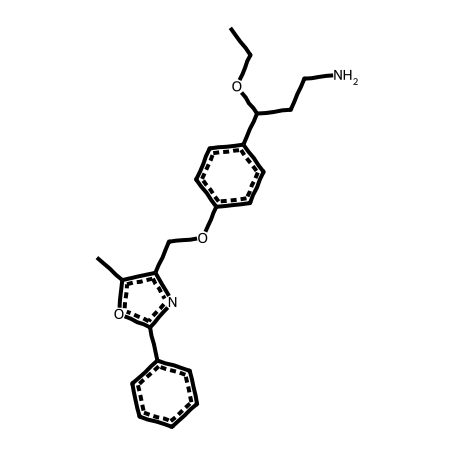 CCOC(CCN)c1ccc(OCc2nc(-c3ccccc3)oc2C)cc1